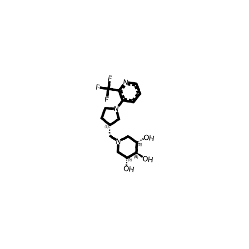 O[C@H]1[C@H](O)CN(C[C@@H]2CCN(c3cccnc3C(F)(F)F)C2)C[C@@H]1O